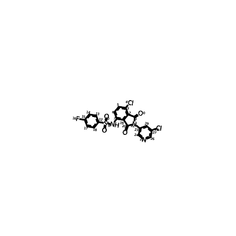 O=C1c2c(Cl)ccc(NS(=O)(=O)c3ccc(F)cc3)c2C(=O)N1c1cncc(Cl)c1